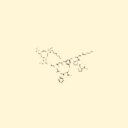 CCCCCC(=O)/N=C/C(CSCc1cc(CSCCNC(=O)CCP(=O)(O)CN2CCN(CP(=O)(O)CO)CCN(CP(=O)(O)CO)CC2)cc(CSCC(NC(=O)[C@H](Cc2ccccc2)NC(=O)[C@H](CCC(N)=O)NC(=O)[C@@H](C)CC)C(N)=O)c1)C(=O)N1CCC[C@H]1C(=O)N1CCC[C@H]1C(N)=O